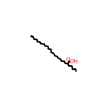 C=CCCCCCCCCCCCCCCCCCCCC(CCCCC)C(=O)O